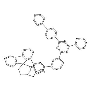 CC1C=C2CC(CCC23c2ccccc2-c2cccc(-c4cccc(-c5cccc(-c6nc(-c7ccccc7)nc(-c7ccc(-c8ccccc8)cc7)n6)c5)c4)c23)C1